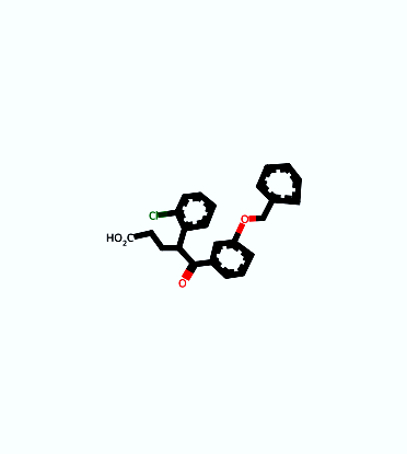 O=C(O)CCC(C(=O)c1cccc(OCc2ccccc2)c1)c1ccccc1Cl